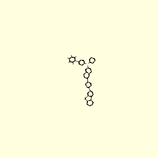 [2H]c1c([2H])c([2H])c(-c2ccc(N(c3ccccc3)c3ccc4cc(-c5ccc(-c6ccc7c(c6)C(C)(C)c6ccccc6-7)cc5)ccc4c3)cc2)c([2H])c1[2H]